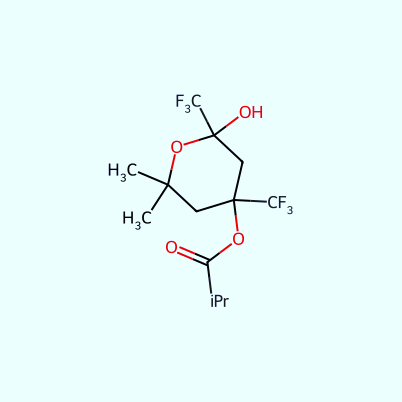 CC(C)C(=O)OC1(C(F)(F)F)CC(C)(C)OC(O)(C(F)(F)F)C1